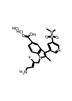 Cc1c(-c2cncc(S(=O)(=O)N(C)C)c2)c2cc(C(=O)O)ccc2n1C/C(F)=C/CN.Cl.Cl